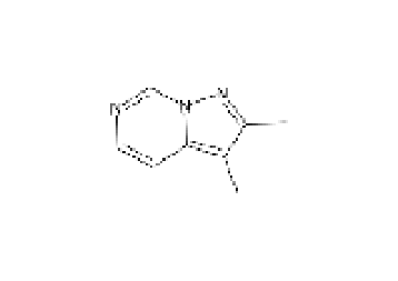 Cc1nn2cnccc2c1C